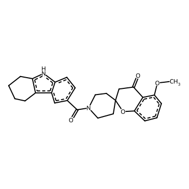 COc1cccc2c1C(=O)CC1(CCN(C(=O)c3ccc4[nH]c5c(c4c3)CCCC5)CC1)O2